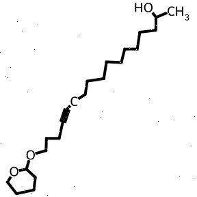 CC(O)CCCCCCCCCCC#CCCCOC1CCCCO1